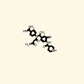 CC(c1ccc(NC(=O)C2CCNCC2)c(Br)c1)N(C(=O)CC(N)=O)c1ccc(C(=N)N)cc1